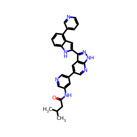 CC(C)CC(=O)Nc1cncc(-c2cnc3[nH]nc(-c4cc5c(-c6cccnc6)cccc5[nH]4)c3c2)c1